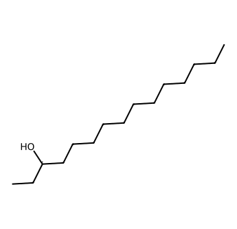 CCCCCCCCCCCC[C](O)CC